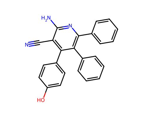 N#Cc1c(N)nc(-c2ccccc2)c(-c2ccccc2)c1-c1ccc(O)cc1